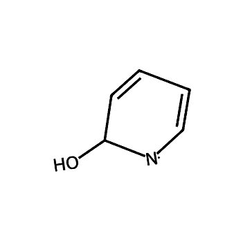 OC1C=CC=C[N]1